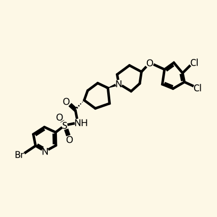 O=C(NS(=O)(=O)c1ccc(Br)nc1)[C@H]1CC[C@H](N2CCC(Oc3ccc(Cl)c(Cl)c3)CC2)CC1